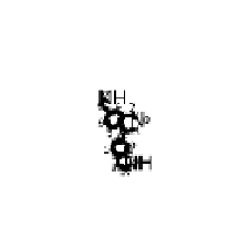 CN1Cc2cc(CN)ccc2C(c2ccc3cc[nH]c3c2)C1